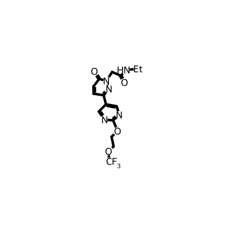 CCNC(=O)Cn1nc(-c2cnc(OCCOC(F)(F)F)nc2)ccc1=O